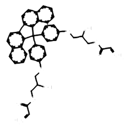 C=CC(=O)OCC(O)COc1ccc(C2(c3ccc(OCC(O)COC(=O)C=C)cc3)c3c(ccc4ccccc34)-c3ccc4ccccc4c32)cc1